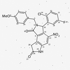 COc1ccc(CN2C(=O)c3c4c(cc([N+](=O)[O-])c3C2c2cc(F)ccc2Cl)NC(=O)C4)cc1